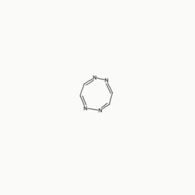 C1=N\N=C/C=N\N=C/1